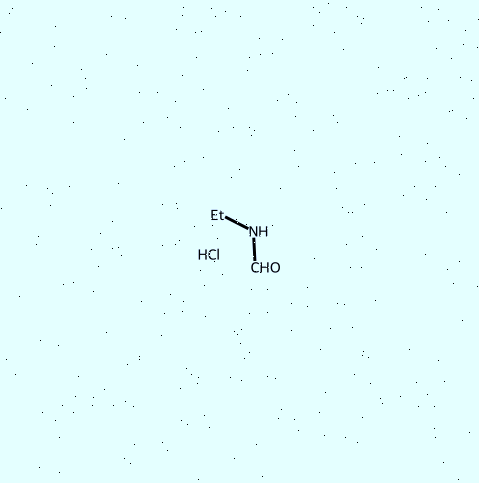 CCNC=O.Cl